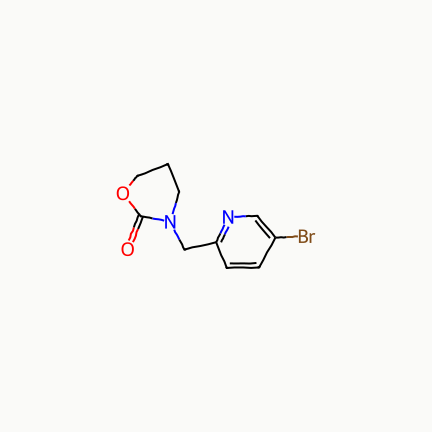 O=C1OCCCN1Cc1ccc(Br)cn1